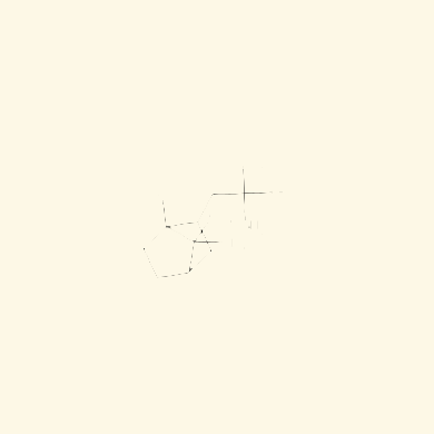 BC(C)(O)CC1CC2CCC1(C)C2(C)C